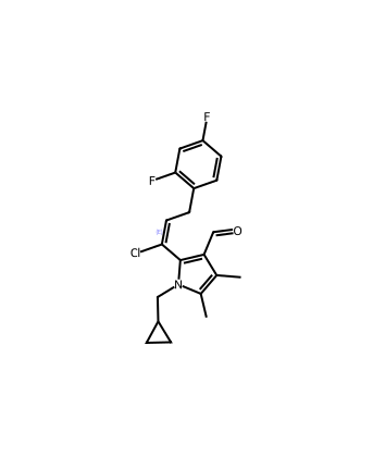 Cc1c(C=O)c(/C(Cl)=C\Cc2ccc(F)cc2F)n(CC2CC2)c1C